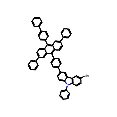 CC(C)(C)c1ccc2c(c1)c1cc(-c3ccc(-c4c5ccc(-c6ccccc6)cc5c(-c5ccc(-c6ccccc6)cc5)c5ccc(-c6ccccc6)cc45)cc3)ccc1n2-c1ccccc1